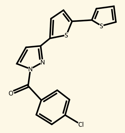 O=C(c1ccc(Cl)cc1)n1ccc(-c2ccc(-c3cccs3)s2)n1